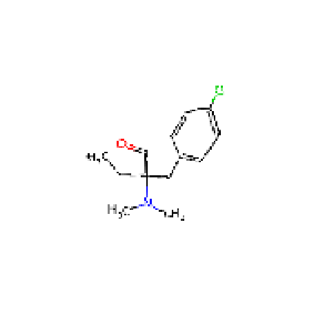 [CH2]CC(C=O)(Cc1ccc(Cl)cc1)N(C)C